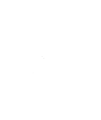 O=c1oc2ccc(Cl)cc2n1CC(F)F